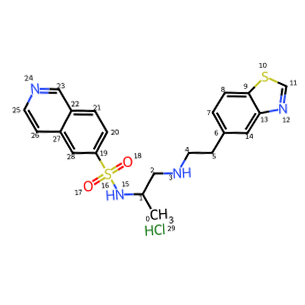 CC(CNCCc1ccc2scnc2c1)NS(=O)(=O)c1ccc2cnccc2c1.Cl